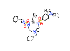 C[C@H]1CN(S(=O)(=O)c2ccc(N(C)C)cc2)CCCN(CC2CCCCC2)CCCN(S(=O)(=O)N2CC(c3ccccc3)C2)C1